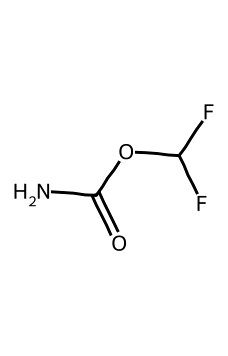 NC(=O)OC(F)F